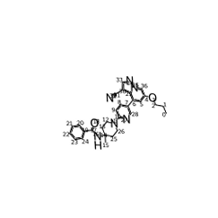 CCCOc1cc(-c2ccc(N3CCC(C)(NC(=O)c4ccccc4)CC3)nc2)c2c(C#N)cnn2c1